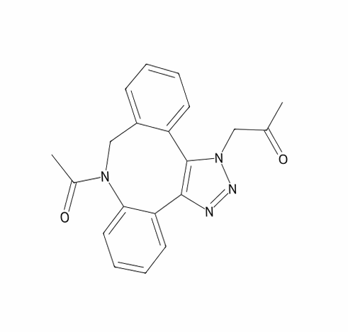 CC(=O)Cn1nnc2c1-c1ccccc1CN(C(C)=O)c1ccccc1-2